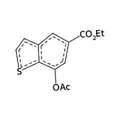 CCOC(=O)c1cc(OC(C)=O)c2sccc2c1